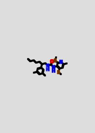 CCCCCC(CNC(=O)Nc1c(SC)cc(C)nc1SC)c1cc(C)cc(C)c1